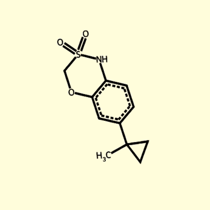 CC1(c2ccc3c(c2)OCS(=O)(=O)N3)CC1